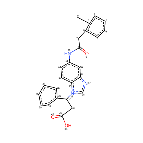 Cc1ccccc1CC(=O)Nc1ccc2c(c1)ncn2C(CC(=O)O)c1ccccc1